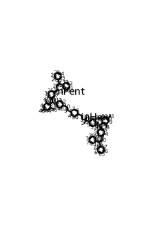 CCCCCCC(C)(C=Cc1ccc(C=Cc2ccc(N(C3=C/C(=C(/C=C(c4ccccc4)c4ccccc4)CCCCC)CC=C3)c3c(C)cc(C)cc3C)cc2)cc1)c1ccc(N(c2ccc(C=C(c3ccccc3)c3ccccc3)cc2)c2c(C)cc(C)cc2C)cc1